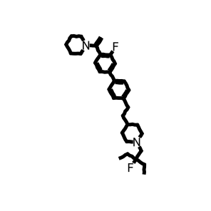 C=C(c1ccc(-c2ccc(CCC3CCN(CC(F)(CC)CC)CC3)cc2)cc1F)N1CCCCC1